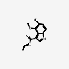 CCOC(=O)c1cnn2ccc(Br)c(OC)c12